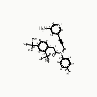 Nc1cncc(C#CCN(C(=O)Cc2ccc(C(F)(F)F)cc2C(F)(F)F)c2ccc(F)cc2)c1